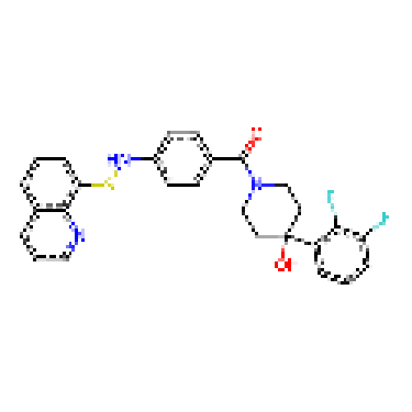 O=C(c1ccc(NSc2cccc3cccnc23)cc1)N1CCC(O)(c2cccc(F)c2F)CC1